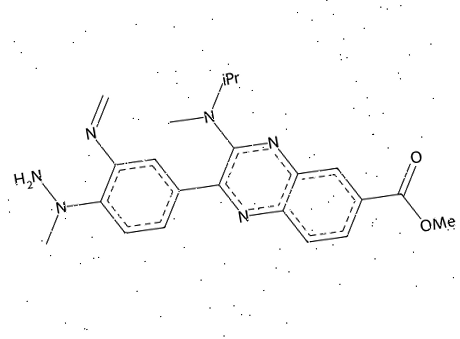 C=Nc1cc(-c2nc3ccc(C(=O)OC)cc3nc2N(C)C(C)C)ccc1N(C)N